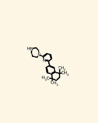 CC1(C)CCC(C)(C)c2cc(-c3cccc(N4CCCNCC4)n3)ccc21